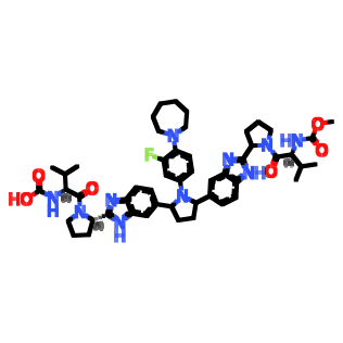 COC(=O)N[C@H](C(=O)N1CCCC1c1nc2cc(C3CCC(c4ccc5nc([C@@H]6CCCN6C(=O)[C@@H](NC(=O)O)C(C)C)[nH]c5c4)N3c3ccc(N4CCCCCC4)c(F)c3)ccc2[nH]1)C(C)C